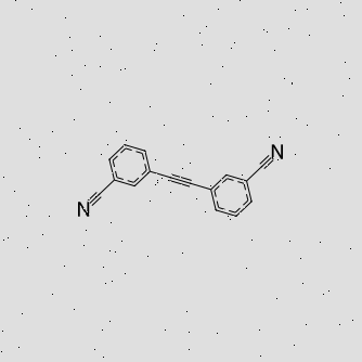 N#Cc1cccc(C#Cc2cccc(C#N)c2)c1